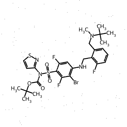 CN(Cc1cccc(F)c1CNc1cc(F)c(S(=O)(=O)N(C(=O)OC(C)(C)C)c2ccsn2)c(F)c1Br)C(C)(C)C